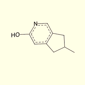 CC1Cc2cnc(O)cc2C1